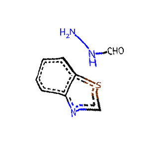 NNC=O.c1ccc2scnc2c1